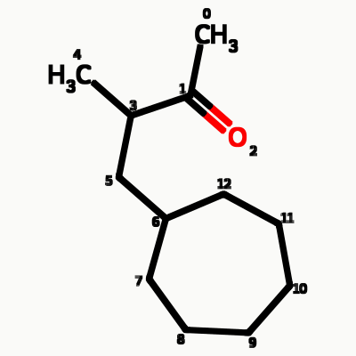 CC(=O)C(C)CC1CCCCCC1